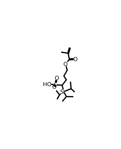 C=C(C)C(=O)OCCCC([Si](C(C)C)(C(C)C)C(C)C)S(=O)(=O)O